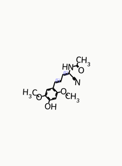 COc1cc(/C=C/C=C(\C#N)NC(C)=O)c(OC)cc1O